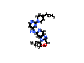 CCC1CCN(c2nccc(Nc3cc4c(cn3)nc(CO)n4C(C)C)n2)CC1